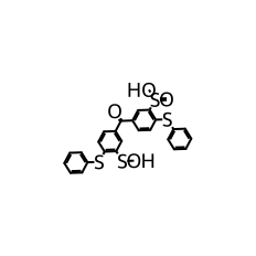 O=C(c1ccc(Sc2ccccc2)c(SO)c1)c1ccc(Sc2ccccc2)c(S(=O)O)c1